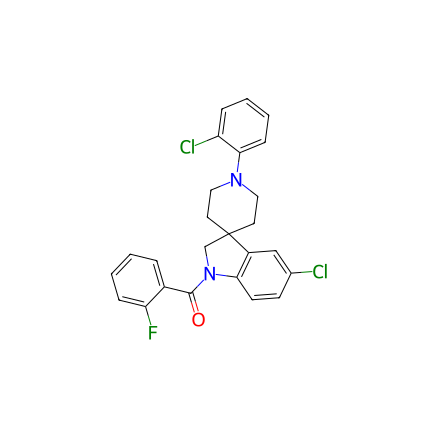 O=C(c1ccccc1F)N1CC2(CCN(c3ccccc3Cl)CC2)c2cc(Cl)ccc21